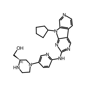 OC[C@H]1CN(c2ccc(Nc3ncc4c5ccncc5n(C5CCCC5)c4n3)nc2)CCN1